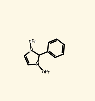 CCCN1C=CN(CCC)C1c1ccccc1